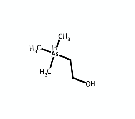 C[AsH](C)(C)CCO